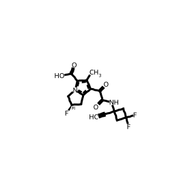 C#CC1(NC(=O)C(=O)c2c(C)c(C(=O)O)n3c2C[C@@H](F)C3)CC(F)(F)C1